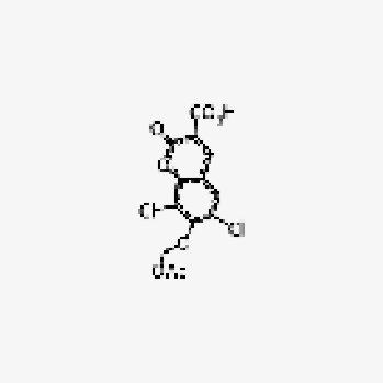 CC(=O)OCOc1c(Cl)cc2cc(C(=O)O)c(=O)oc2c1Cl